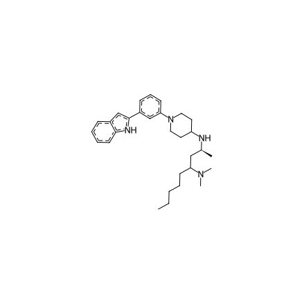 CCCCCC(C[C@H](C)NC1CCN(c2cccc(-c3cc4ccccc4[nH]3)c2)CC1)N(C)C